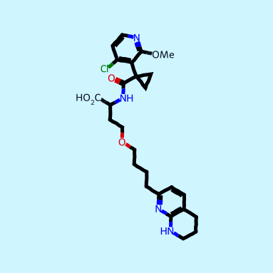 COc1nccc(Cl)c1C1(C(=O)NC(CCOCCCCc2ccc3c(n2)NCCC3)C(=O)O)CC1